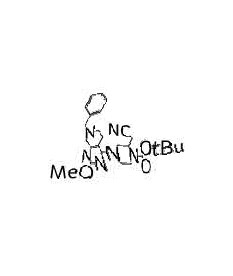 COc1nc2c(c(N3CCN(C(=O)OC(C)(C)C)C(CC#N)C3)n1)CCN(Cc1ccccc1)C2